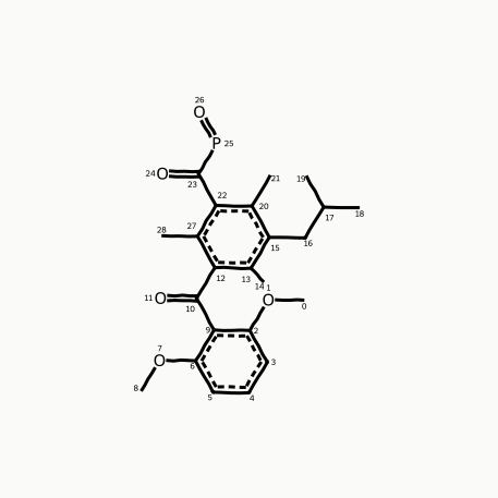 COc1cccc(OC)c1C(=O)c1c(C)c(CC(C)C)c(C)c(C(=O)P=O)c1C